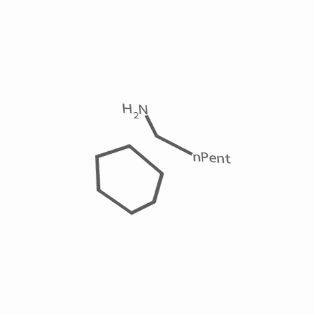 C1CCCCC1.CCCCCCN